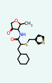 CC1OCC(=O)C1NC(=O)C(CC1CCCCC1)SCc1ccsc1